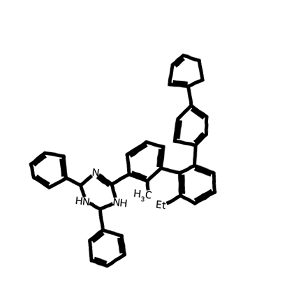 CCc1cccc(-c2ccc(C3=CC=CCC3)cc2)c1-c1cccc(C2=NC(c3ccccc3)NC(c3ccccc3)N2)c1C